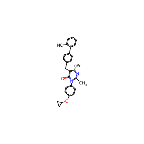 CCCc1nc(C)n(-c2ccc(OC3CC3)cc2)c(=O)c1Cc1ccc(-c2ccccc2C#N)cc1